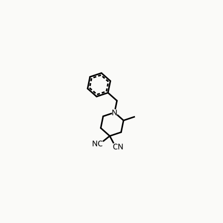 CC1CC(C#N)(C#N)CCN1Cc1ccccc1